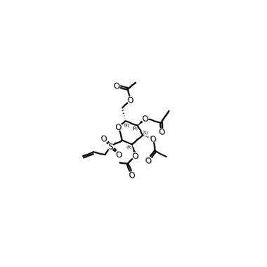 C=CCS(=O)(=O)C1O[C@H](COC(C)=O)[C@@H](OC(C)=O)[C@H](OC(C)=O)[C@H]1OC(C)=O